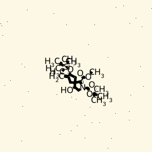 C=CCC1(CCO[Si](C)(C)C(C)(C)C)C(O)CN(C(=O)OC(C)(C)C)[C@@H]1C(=O)OC